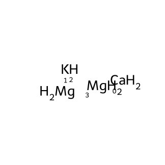 [CaH2].[KH].[MgH2].[MgH2]